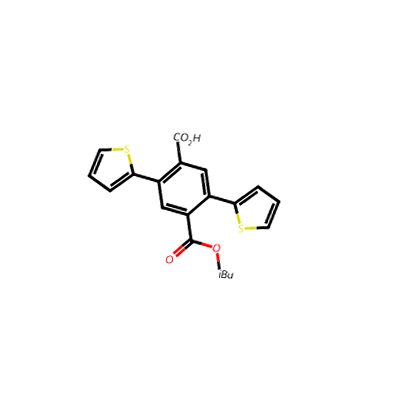 CCC(C)OC(=O)c1cc(-c2cccs2)c(C(=O)O)cc1-c1cccs1